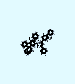 c1ccc(-c2cc(-c3ccc4c(c3)oc3ccccc34)nc(-c3cc4c(c5oc6ccccc6c35)-c3ccccc3C43C4CC5CC(C4)CC3C5)n2)cc1